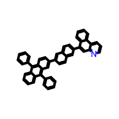 c1ccc(-c2c3ccccc3c(-c3ccccc3)c3cc(-c4ccc5cc(-c6cc7ncccc7c7ccccc67)ccc5c4)ccc23)cc1